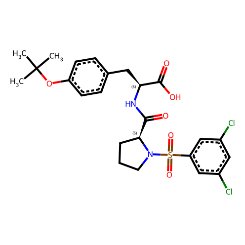 CC(C)(C)Oc1ccc(C[C@H](NC(=O)[C@@H]2CCCN2S(=O)(=O)c2cc(Cl)cc(Cl)c2)C(=O)O)cc1